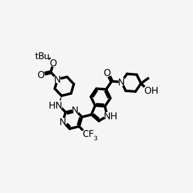 CC1(O)CCN(C(=O)c2ccc3c(-c4nc(N[C@H]5CCCN(C(=O)OC(C)(C)C)C5)ncc4C(F)(F)F)c[nH]c3c2)CC1